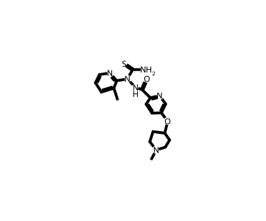 Cc1cccnc1N(NC(=O)c1ccc(OC2CCN(C)CC2)cn1)C(N)=S